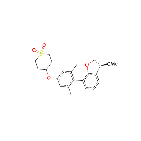 CO[C@@H]1COc2c(-c3c(C)cc(OC4CCS(=O)(=O)CC4)cc3C)cccc21